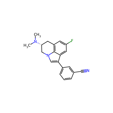 CN(C)[C@@H]1Cc2cc(F)cc3c(-c4cccc(C#N)c4)cn(c23)C1